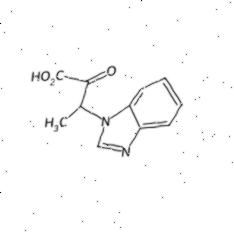 CC(C(=O)C(=O)O)n1cnc2ccccc21